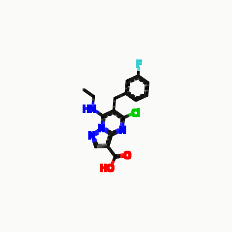 CCNc1c(Cc2cccc(F)c2)c(Cl)nc2c(C(=O)O)cnn12